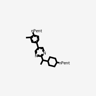 CCCCCc1ccc(-c2cnc(C(C)C3CCC(CCCCC)CC3)nc2)cc1C